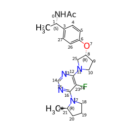 CC(=O)N[C@@H](C)c1ccc(O[C@@H]2CCN(c3ncnc(N4CCC[C@H]4C)c3F)C2)cc1